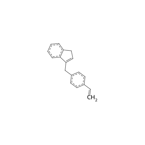 C=Cc1ccc(CC2=CCc3ccccc32)cc1